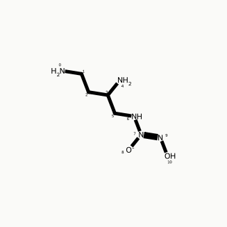 NCCC(N)CN/[N+]([O-])=N/O